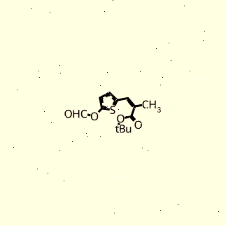 CC(=Cc1ccc(OC=O)s1)C(=O)OC(C)(C)C